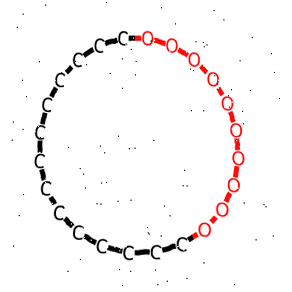 C1CCCCCCCOOOOOOOOOOCCCCCC1